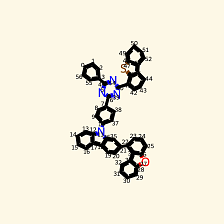 c1ccc(-c2nc(-c3ccc(-n4c5ccccc5c5ccc(-c6cccc7oc8ccccc8c67)cc54)cc3)nc(-c3cccc4c3sc3ccccc34)n2)cc1